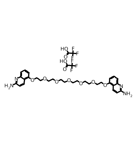 Nc1ccc2c(OCCOCCOCCOCCOCCOCCOc3cccc4nc(N)ccc34)cccc2n1.O=C(O)C(F)(F)F.O=C(O)C(F)(F)F